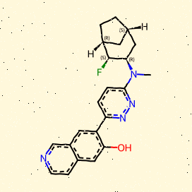 CN(c1ccc(-c2cc3cnccc3cc2O)nn1)[C@@H]1C[C@H]2CC[C@H](C2)[C@@H]1F